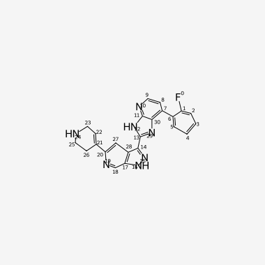 Fc1ccccc1-c1ccnc2[nH]c(-c3n[nH]c4cnc(C5=CCNCC5)cc34)nc12